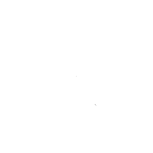 CC(C)(C1CCC(OCC2CO2)CC1)C1CCC(OC[C@H]2CO2)CC1